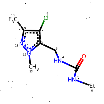 CCNC(=O)NCc1c(Cl)c(C(F)(F)F)nn1C